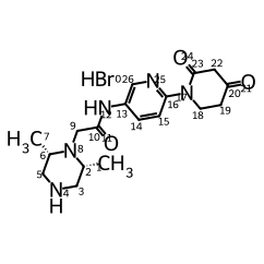 Br.C[C@@H]1CNC[C@H](C)N1CC(=O)Nc1ccc(N2CCC(=O)CC2=O)nc1